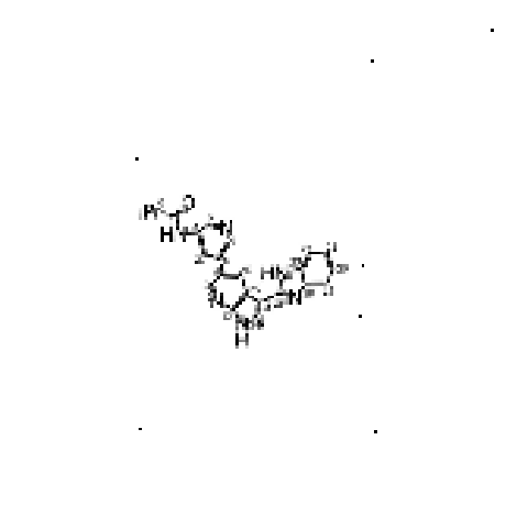 CC(C)C(=O)Nc1cncc(-c2cnc3[nH]nc(-c4nc5ccccc5[nH]4)c3c2)c1